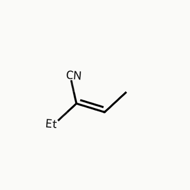 C/C=C(\C#N)CC